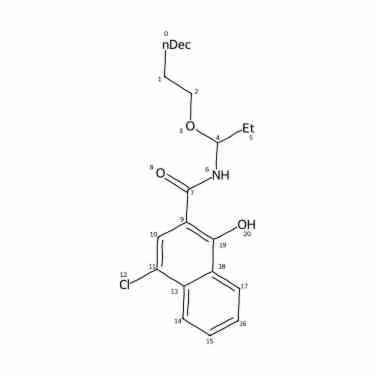 CCCCCCCCCCCCOC(CC)NC(=O)c1cc(Cl)c2ccccc2c1O